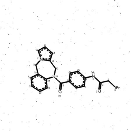 CC(C)CC(=O)Nc1ccc(C(=O)N2Cc3cccn3Cc3ccccc32)cc1